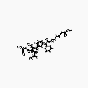 O=C(O)CCCCCNC(=O)N(c1cccc(-c2sc(C(=O)O)c(OCC(=O)O)c2Cl)c1)C1CCCCC1